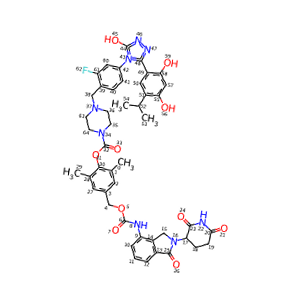 Cc1cc(COC(=O)Nc2cccc3c2CN(C2CCC(=O)NC2=O)C3=O)cc(C)c1OC(=O)N1CCN(Cc2ccc(-n3c(O)nnc3-c3cc(C(C)C)c(O)cc3O)cc2F)CC1